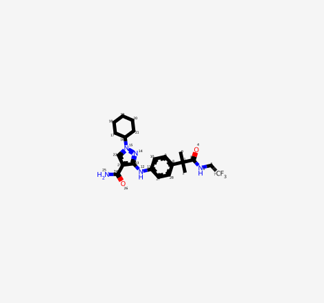 CC(C)(C(=O)NCC(F)(F)F)c1ccc(Nc2nn(C3CCCCC3)cc2C(N)=O)cc1